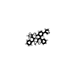 COC(=O)c1c(-c2ccccc2)c2cc(-c3ccsc3)ccc2c(=O)n1C(Cc1ccccc1)C1=COCO1